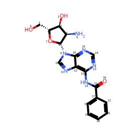 N[C@@H]1[C@H](O)[C@@H](CO)O[C@H]1n1cnc2c(NC(=O)c3ccccc3)ncnc21